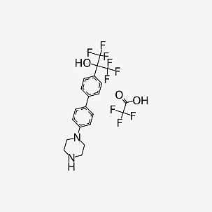 O=C(O)C(F)(F)F.OC(c1ccc(-c2ccc(N3CCNCC3)cc2)cc1)(C(F)(F)F)C(F)(F)F